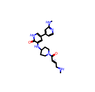 CNC/C=C/C(=O)N1CCC(Nc2cc(-c3ccnc(NC)c3)c[nH]c2=O)CC1